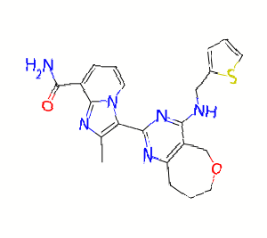 Cc1nc2c(C(N)=O)cccn2c1-c1nc2c(c(NCc3cccs3)n1)COCCC2